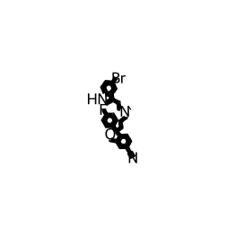 CN(CCCC1(c2ccc(F)cc2)OCc2cc(C#N)ccc21)CCc1c[nH]c2ccc(Br)cc12